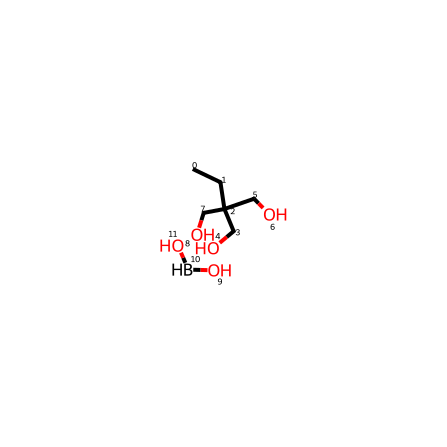 CCC(CO)(CO)CO.OBO